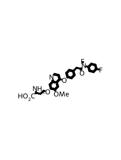 COc1cc2c(Oc3ccc(CC(=O)N(F)c4ccc(F)cc4)cc3)ccnc2cc1OCCC(N)C(=O)O